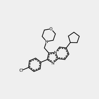 Clc1ccc(-c2nc3ccc(C4CCCC4)cn3c2CN2CCOCC2)cc1